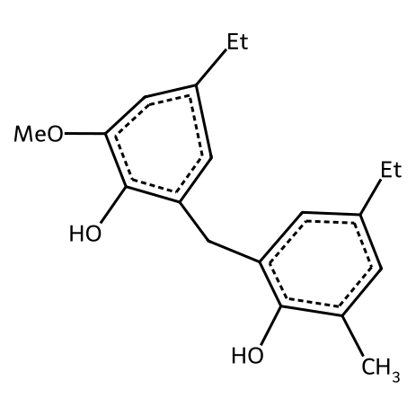 CCc1cc(C)c(O)c(Cc2cc(CC)cc(OC)c2O)c1